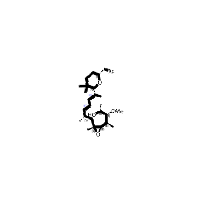 CO[C@H]([C@@H](C)[C@H]1O[C@]1(C)C[C@H](C)/C=C/C=C(\C)[C@H]1O[C@@H](CC(C)=O)CCC1(C)C)[C@@H](C)O